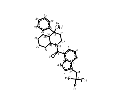 O=C(c1cccc2c1ncn2CC(F)(F)F)N1CCC(O)(c2ccccc2)C2CCCCC21